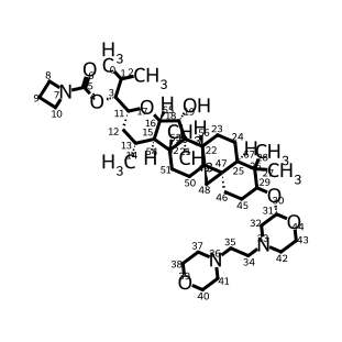 CC(C)[C@@H](OC(=O)N1CCC1)[C@H]1C[C@@H](C)[C@H]2[C@H](O1)[C@H](O)[C@@]1(C)[C@@H]3CC[C@H]4C(C)(C)C(O[C@H]5CN(CCN6CCOCC6)CCO5)CC[C@@]45C[C@@]35CC[C@]21C